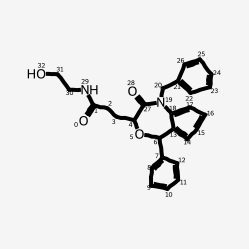 O=C(CCC1OC(c2ccccc2)c2ccccc2N(Cc2ccccc2)C1=O)NCCO